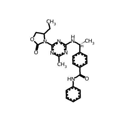 CCC1COC(=O)N1c1nc(C)nc(N[C@H](C)c2ccc(C(=O)Nc3ccccc3)cc2)n1